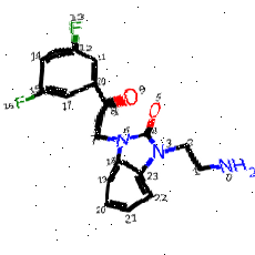 NCCn1c(=O)n(CC(=O)c2cc(F)cc(F)c2)c2ccccc21